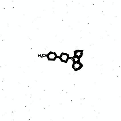 CC1CCC(C2CCC(n3c4ccccc4c4ccccc43)CC2)CC1